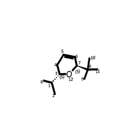 CC(C)[C@@H]1CC=C[C@@H](C(C)(C)C)O1